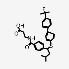 CC(C)CC(Sc1ccc(-c2ccc(C(C)(C)F)cc2)cc1)c1ccc(C(=O)NCCC(=O)O)cc1